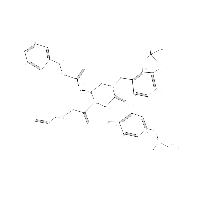 C=CCNCC(=O)N1[C@@H](NC(=O)NCc2ccccc2)CN(Cc2cccc3c2OC(F)(F)O3)C(=O)[C@@H]1Cc1ccc(OP(O)O)cc1